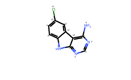 Nc1ncnc2[nH]c3ccc(Cl)cc3c12